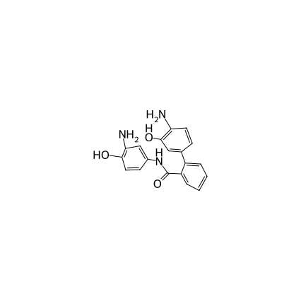 Nc1cc(NC(=O)c2ccccc2-c2ccc(N)c(O)c2)ccc1O